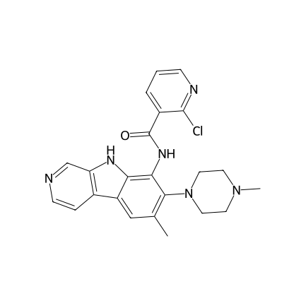 Cc1cc2c([nH]c3cnccc32)c(NC(=O)c2cccnc2Cl)c1N1CCN(C)CC1